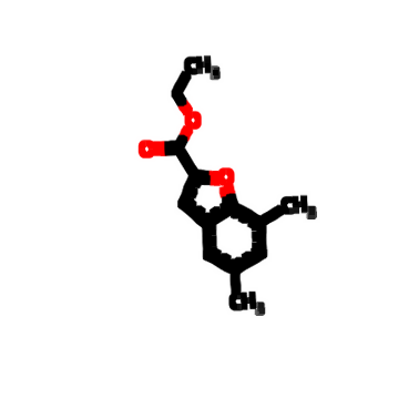 CCOC(=O)c1cc2cc(C)cc(C)c2o1